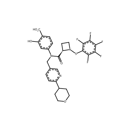 O=C(O)c1ccc(N(Cc2ccc(C3CCOCC3)nc2)C(=O)[C@H]2CCN2Sc2c(F)c(F)c(F)c(F)c2F)cc1O